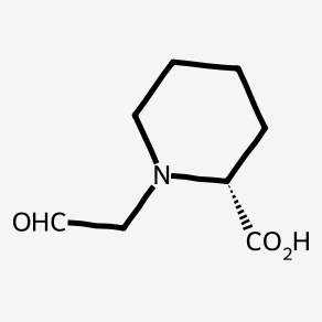 O=CCN1CCCC[C@@H]1C(=O)O